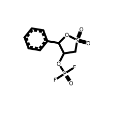 O=P(F)(F)OC1CS(=O)(=O)OC1c1ccccc1